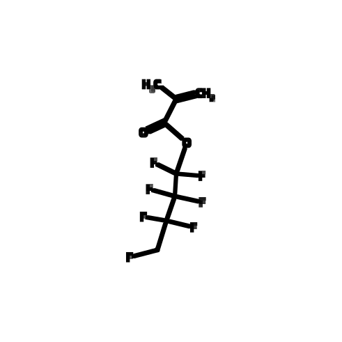 C=C(C)C(=O)OC(F)(F)C(F)(F)C(F)(F)CF